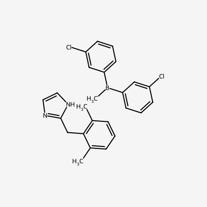 CB(c1cccc(Cl)c1)c1cccc(Cl)c1.Cc1cccc(C)c1Cc1ncc[nH]1